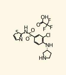 O=C(O)C(F)(F)F.O=S(=O)(Nc1nccs1)c1ccc(N[C@@H]2CCNC2)c(Cl)c1